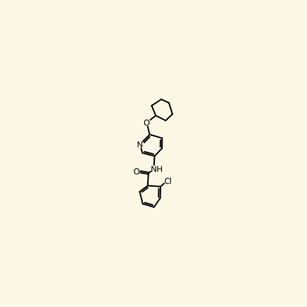 O=C(Nc1ccc(OC2CCCCC2)nc1)c1ccccc1Cl